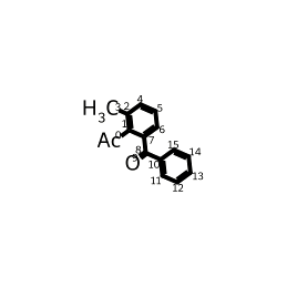 CC(=O)c1c(C)cccc1C(=O)c1ccccc1